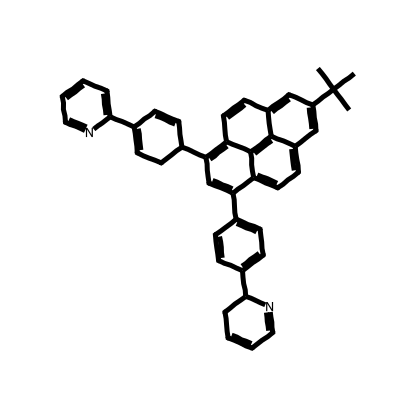 CC(C)(C)c1cc2ccc3c(-c4ccc(C5CC=CC=N5)cc4)cc(C4C=CC(c5ccccn5)=CC4)c4ccc(c1)c2c34